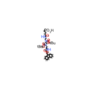 CC(C)(C)OC(=O)N(CCNC(=O)CCCC(=O)O)CCN(CCNC(=O)OCC1c2ccccc2-c2ccccc21)C(=O)OC(C)(C)C